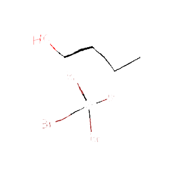 CCCCO.[Br][Zr]([Br])([Br])[Br]